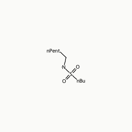 CCCCCC[N]S(=O)(=O)CCCC